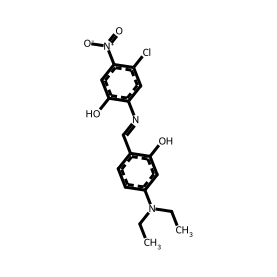 CCN(CC)c1ccc(/C=N/c2cc(Cl)c([N+](=O)[O-])cc2O)c(O)c1